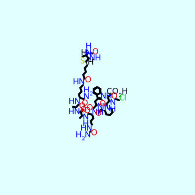 CC(NC(=O)C(C)NC(=O)C(CCCNC(N)=O)NC(=O)C(Cc1c[nH]c2ccccc12)NC(=O)[C@@H]1CCCCN1C(=O)C(CCC(=O)O)NC(=O)CCl)C(=O)NC(CCCCNC(=O)CCCC[C@H]1SC[C@H]2NC(=O)N[C@H]21)C(N)=O